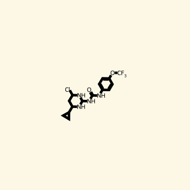 O=C(Nc1ccc(OC(F)(F)F)cc1)NC1NC(Cl)CC(C2CC2)N1